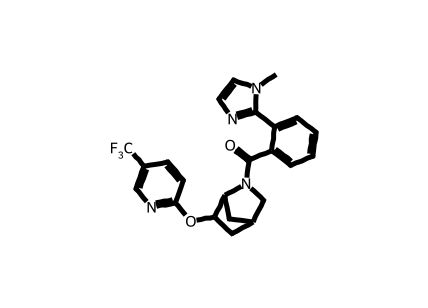 Cn1ccnc1-c1ccccc1C(=O)N1CC2CC(Oc3ccc(C(F)(F)F)cn3)C1C2